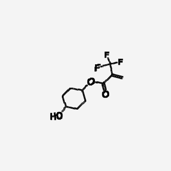 C=C(C(=O)OC1CCC(O)CC1)C(F)(F)F